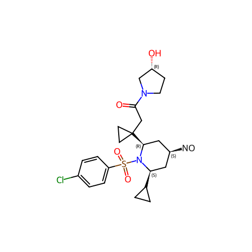 O=N[C@H]1C[C@@H](C2CC2)N(S(=O)(=O)c2ccc(Cl)cc2)[C@@H](C2(CC(=O)N3CC[C@@H](O)C3)CC2)C1